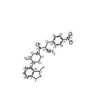 CC1CCc2ncnc(N3CCN(C(=O)C(N)Cc4ccc([N+](=O)[O-])cc4)CC3C)c21